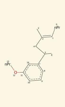 CCCC=C(C)CC(C)c1cccc(OCCC)c1